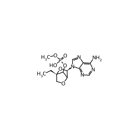 CC[C@]12COC(C1OP(=O)(O)OC)[C@H](n1cnc3c(N)ncnc31)O2